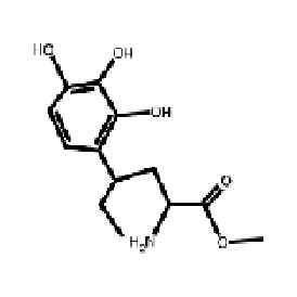 CCC(CC(N)C(=O)OC)c1ccc(O)c(O)c1O